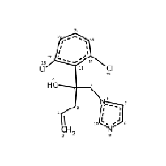 C=CCC(O)(Cn1ccnc1)c1c(Cl)cccc1Cl